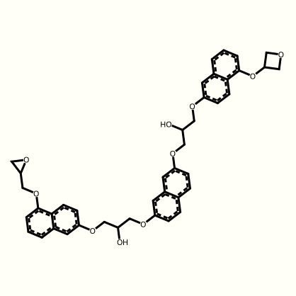 OC(COc1ccc2ccc(OCC(O)COc3ccc4c(OC5COC5)cccc4c3)cc2c1)COc1ccc2c(OCC3CO3)cccc2c1